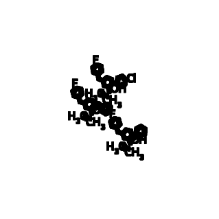 CN(C)CC1CC(Cc2ccc(F)cc2)CCC1(O)Cc1ccccc1.CN(C)CC1CC(Cc2ccc(F)cc2)CCC1(O)c1ccc(Cl)cc1.CN(C)CC1CC(Cc2ccc(F)cc2)CCC1(O)c1ccccc1